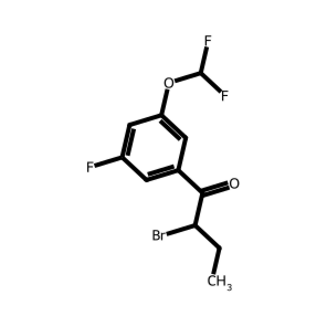 CCC(Br)C(=O)c1cc(F)cc(OC(F)F)c1